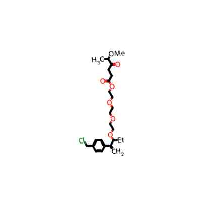 C=C(c1ccc(CCl)cc1)C(CC)OCCOCCOCCOC(=O)CCC(=O)C(C)OC